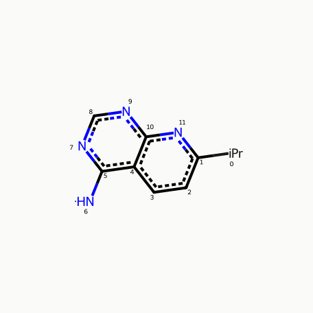 CC(C)c1ccc2c([NH])ncnc2n1